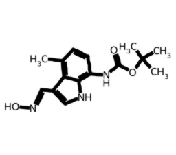 Cc1ccc(NC(=O)OC(C)(C)C)c2[nH]cc(/C=N/O)c12